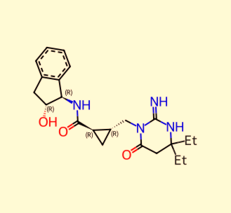 CCC1(CC)CC(=O)N(C[C@@H]2C[C@H]2C(=O)N[C@@H]2c3ccccc3C[C@H]2O)C(=N)N1